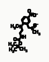 CN(CCNC(=O)OC(C)(C)C)c1ccc([N+](=O)[O-])cc1C[S+](C)[O-]